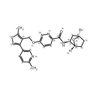 Cc1ccc(-c2noc(C)c2COc2ccc(C(=O)N[C@H]3C[C@H]4CC[C@H]3O4)nn2)cn1